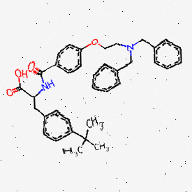 CC(C)(C)c1ccc(CC(NC(=O)c2ccc(OCCN(Cc3ccccc3)Cc3ccccc3)cc2)C(=O)O)cc1